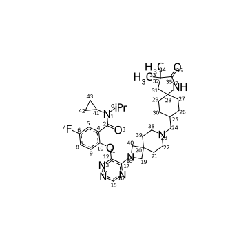 CC(C)N(C(=O)c1cc(F)ccc1Oc1nncnc1N1CC2(CCN(CC3CCC4(CC3)CC(C)(C)C(=O)N4)CC2)C1)C1CC1